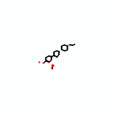 CCC[C@H]1CC[C@H](C2CCC(C3CCC(C(=O)OC)=C(OC(C)=O)C3)CC2)CC1